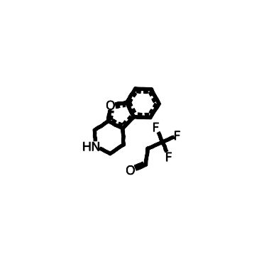 O=CCC(F)(F)F.c1ccc2c3c(oc2c1)CNCC3